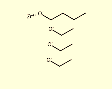 CCCC[O-].CC[O-].CC[O-].CC[O-].[Zr+4]